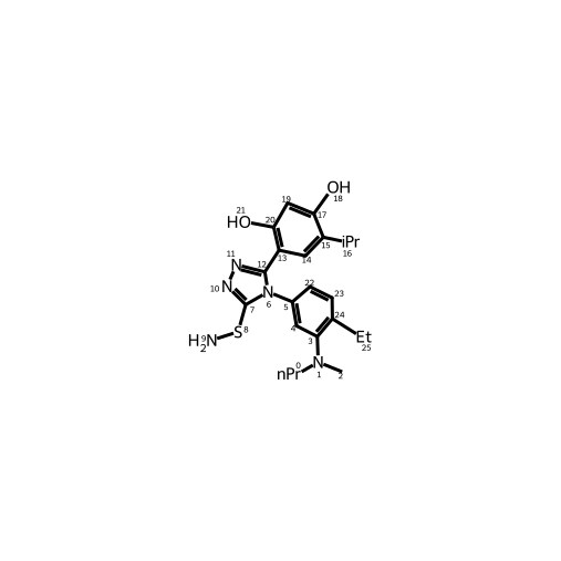 CCCN(C)c1cc(-n2c(SN)nnc2-c2cc(C(C)C)c(O)cc2O)ccc1CC